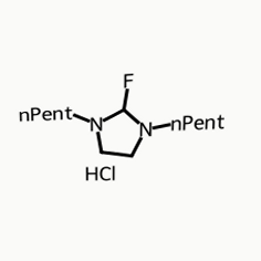 CCCCCN1CCN(CCCCC)C1F.Cl